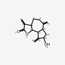 C=C1C(=O)OC2C1CCC(=C)C1CC(O)C(=C)C12